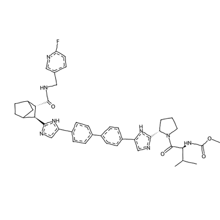 COC(=O)N[C@H](C(=O)N1CCC[C@H]1c1ncc(-c2ccc(-c3ccc(-c4cnc([C@H]5C6CCC(C6)[C@@H]5C(=O)NCc5ccc(F)nc5)[nH]4)cc3)cc2)[nH]1)C(C)C